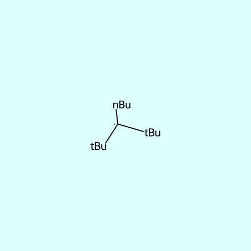 CCCC[C](C(C)(C)C)C(C)(C)C